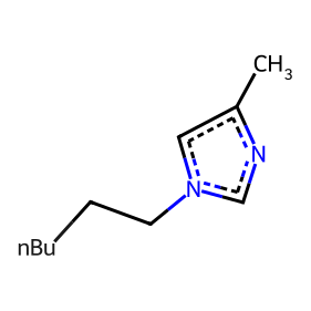 CCCCCCn1cnc(C)c1